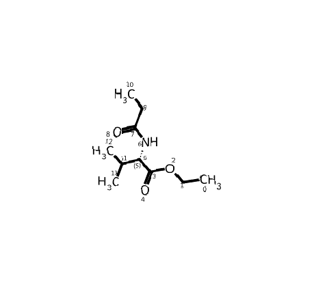 CCOC(=O)[C@@H](NC(=O)CC)C(C)C